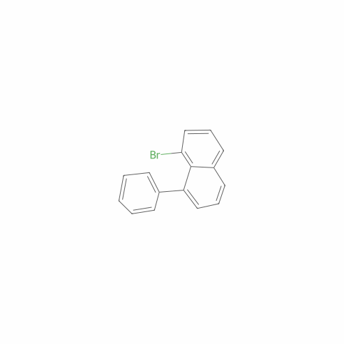 Brc1cccc2cccc(-c3ccccc3)c12